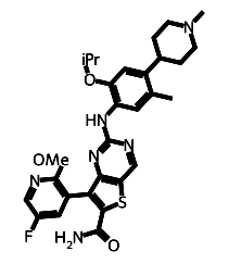 COc1ncc(F)cc1-c1c(C(N)=O)sc2cnc(Nc3cc(C)c(C4CCN(C)CC4)cc3OC(C)C)nc12